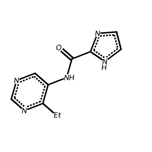 CCc1ncncc1NC(=O)c1ncc[nH]1